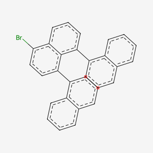 Brc1ccc(-c2cccc3ccccc23)c2c(-c3cccc4ccccc34)cccc12